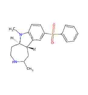 CC1C[C@H]2c3cc(S(=O)(=O)c4ccccc4)ccc3N(C)[C@@H]2CCN1